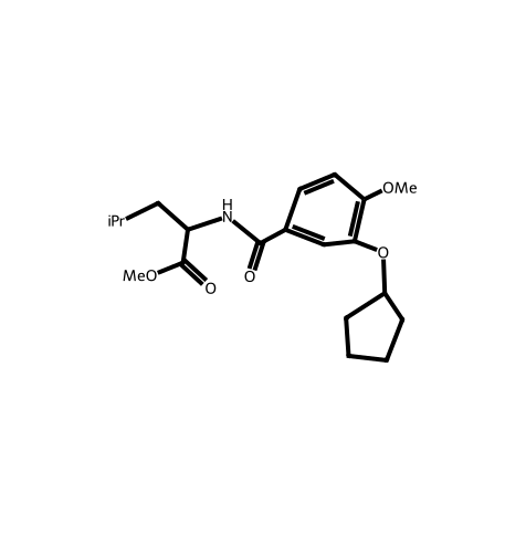 COC(=O)C(CC(C)C)NC(=O)c1ccc(OC)c(OC2CCCC2)c1